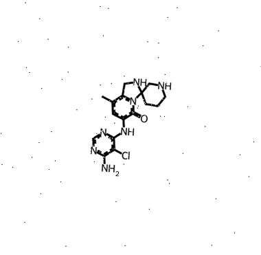 Cc1cc(Nc2ncnc(N)c2Cl)c(=O)n2c1CNC21CCCNC1